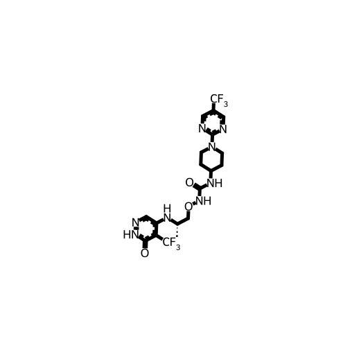 C[C@@H](CONC(=O)NC1CCN(c2ncc(C(F)(F)F)cn2)CC1)Nc1cn[nH]c(=O)c1C(F)(F)F